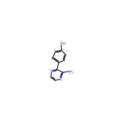 Nc1nccnc1-c1ccc(C=O)cc1